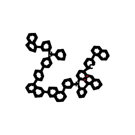 c1ccc(N(c2ccc(-c3ccc(-c4cccc5ccc(-c6ccc7c(-c8cccc(N(c9ccc(-c%10ccc(-c%11cccc%12ccccc%11%12)cc%10)cc9)c9ccccc9-c9cccc%10ccccc9%10)c8)cccc7c6)cc45)cc3)cc2)c2cccc(-c3cccc4ccccc34)c2)cc1